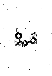 CC(F)(F)C(c1ccc(F)cc1)n1cc(-c2cnc[c]([Sn]([CH3])([CH3])[CH3])n2)cn1